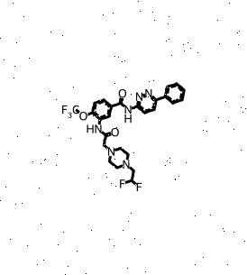 O=C(CN1CCN(CC(F)F)CC1)Nc1cc(C(=O)Nc2ccc(-c3ccccc3)nn2)ccc1OC(F)(F)F